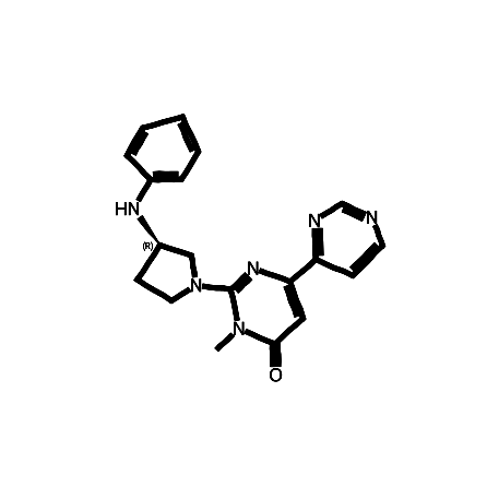 Cn1c(N2CC[C@@H](Nc3ccccc3)C2)nc(-c2ccncn2)cc1=O